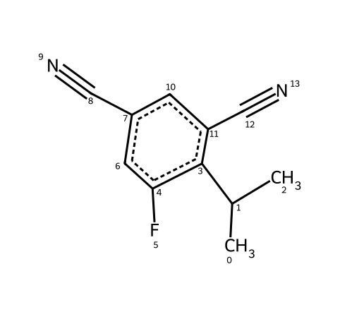 CC(C)c1c(F)cc(C#N)cc1C#N